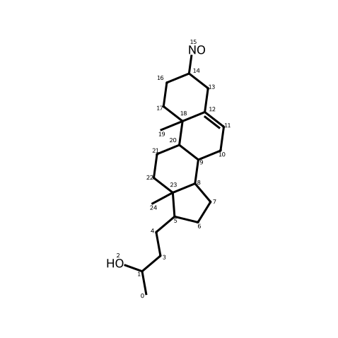 CC(O)CCC1CCC2C3CC=C4CC(N=O)CCC4(C)C3CCC12C